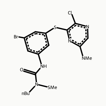 CCCCN(SC)C(=O)Nc1cc(Br)cc(Sc2nc(NC)cnc2Cl)c1